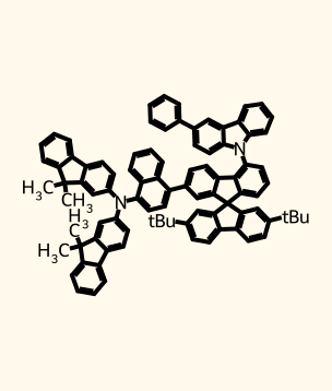 CC(C)(C)c1ccc2c(c1)C1(c3cc(C(C)(C)C)ccc3-2)c2cc(-c3ccc(N(c4ccc5c(c4)C(C)(C)c4ccccc4-5)c4ccc5c(c4)C(C)(C)c4ccccc4-5)c4ccccc34)ccc2-c2c(-n3c4ccccc4c4cc(-c5ccccc5)ccc43)cccc21